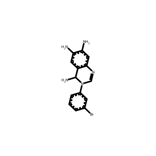 Nc1cc2c(cc1N)C(N)N(c1cccc(Br)c1)C=N2